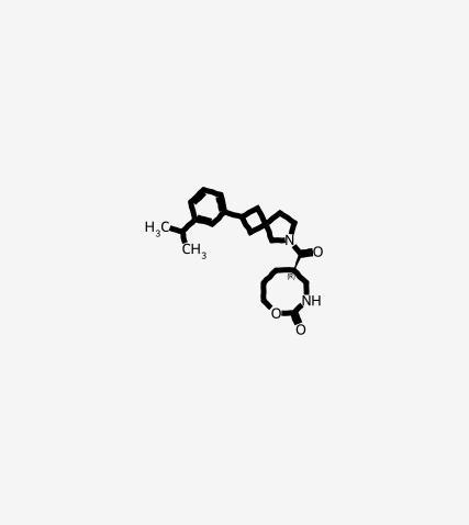 CC(C)c1cccc(C2CC3(CCN(C(=O)[C@@H]4CCCOC(=O)NC4)C3)C2)c1